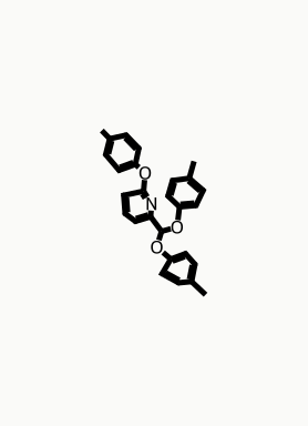 Cc1ccc(Oc2cccc(C(Oc3ccc(C)cc3)Oc3ccc(C)cc3)n2)cc1